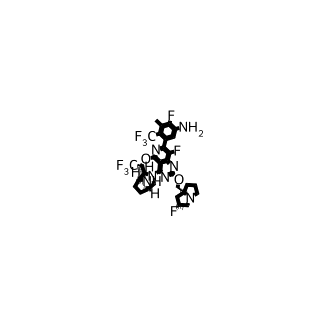 Cc1c(F)c(N)cc(-c2nc3c4c(nc(OC[C@@]56CCCN5C[C@H](F)C6)nc4c2F)N2C[C@H]4CC[C@H](N4)[C@@H]2[C@@H](C(F)(F)F)O3)c1C(F)(F)F